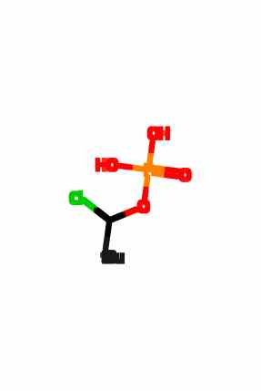 CC(C)(C)C(Cl)OP(=O)(O)O